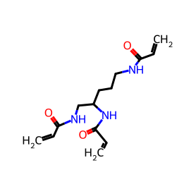 C=CC(=O)NCCCC(CNC(=O)C=C)NC(=O)C=C